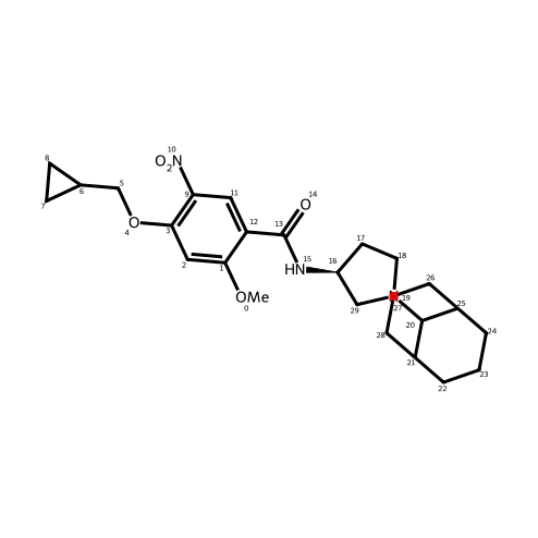 COc1cc(OCC2CC2)c([N+](=O)[O-])cc1C(=O)N[C@H]1CCN(C2C3CCCC2CCC3)C1